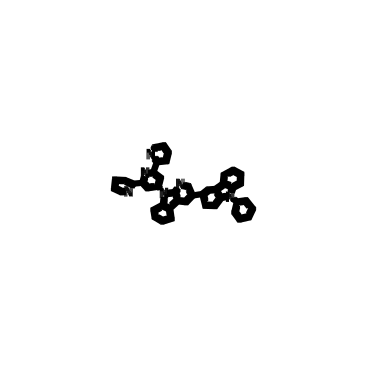 c1ccc(-n2c3ccccc3c3cc(-c4cnc5c(c4)c4ccccc4n5-c4cc(-c5ccccn5)nc(-c5ccccn5)c4)ccc32)cc1